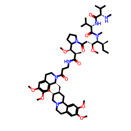 CC[C@H]1CN2CCc3cc(OC)c(OC)cc3C2C[C@@H]1C[C@@H]1c2cc(OC)c(OC)cc2CCN1C(=O)CCNC(=O)[C@H](C)[C@@H](OC)C1CCCN1C(=O)C[C@@H](OC)[C@H]([C@@H](C)CC)N(C)C(=O)[C@@H](NC(=O)[C@@H](NC)C(C)C)C(C)C